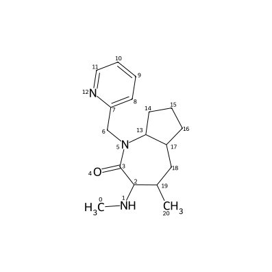 CNC1C(=O)N(Cc2ccccn2)C2CCCC2CC1C